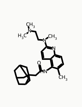 Cc1ccc2nc(N(C)CCN(C)C)ccc2c1NC(=O)CC12CC3CC(CC(C3)C1)C2